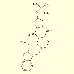 CCc1sc2ccccc2c1CN1CCN2C(=O)C3CC(OC(C)(C)C)CN3C(=O)C2C1